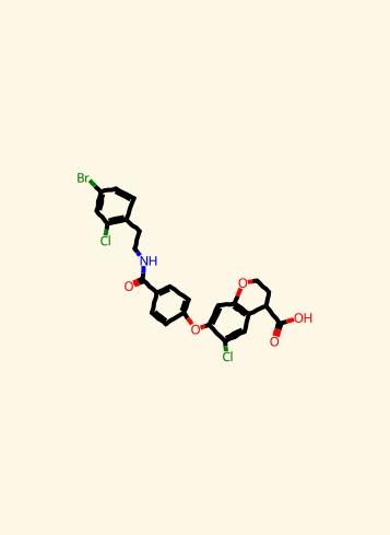 O=C(NCCc1ccc(Br)cc1Cl)c1ccc(Oc2cc3c(cc2Cl)C(C(=O)O)CCO3)cc1